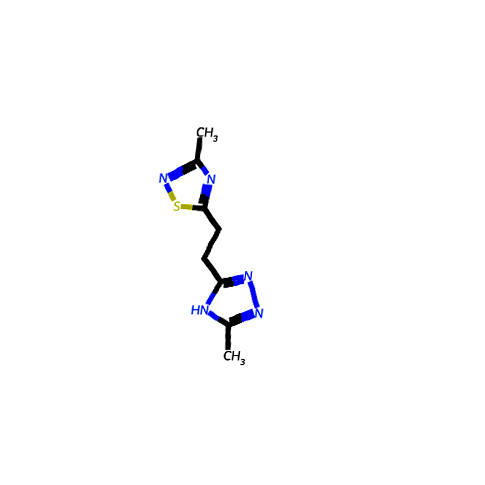 Cc1nsc(CCc2nnc(C)[nH]2)n1